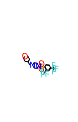 O=S(=O)(c1ccc(C(F)(F)F)cc1C(F)(F)F)N1CCN(CC2CCOCC2)CC1